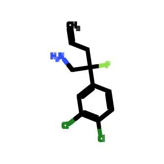 C=CCC(F)(CN)c1ccc(Cl)c(Cl)c1